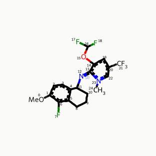 COc1ccc2c(c1F)CCCC2/N=c1/c(OC(F)F)cc(C(F)(F)F)cn1C